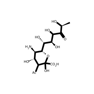 CC(=O)C1[C@H](O)[C@@H](N)[C@H]([C@H](O)[C@H](O)C(O)C(=O)[C@H](C)O)OC1(O)C(=O)O